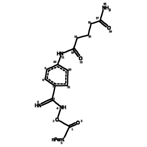 CCCCCC(=O)ONC(=N)c1ccc(NC(=O)CCCC(N)=O)cc1